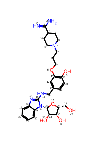 N=C(N)C1CCN(CCCOc2cc(CNc3nc4ccccc4n3[C@@H]3O[C@H](CO)[C@@H](O)[C@H]3O)ccc2O)CC1